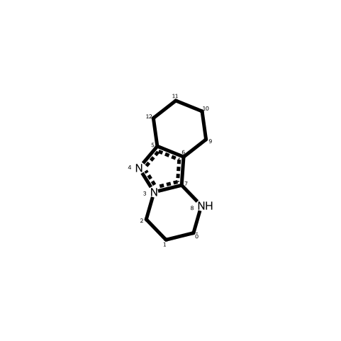 [CH]1CCn2nc3c(c2N1)CCCC3